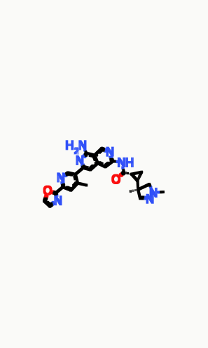 Cc1cc(-c2ncco2)ncc1-c1cc2cc(NC(=O)[C@@H]3C[C@H]3[C@]3(C)C=NN(C)C3)ncc2c(N)n1